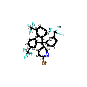 FC(F)(F)c1cccc(C(c2ccc(Br)nc2)(c2cccc(C(F)(F)F)c2)c2cccc(C(F)(F)F)c2)c1